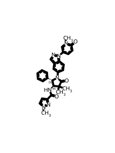 Cn1ccc(C(=O)N[C@H]2[C@H](c3ccccc3)N(c3ccc4c(cnn4-c4ccc(=O)n(C)c4)c3)C(=O)C2(C)C)n1